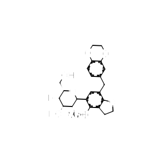 COc1c(C2O[C@H](CO)[C@@H](F)[C@H](O)[C@H]2O)cc(Cc2ccc3c(c2)OCCO3)c2c1CCO2